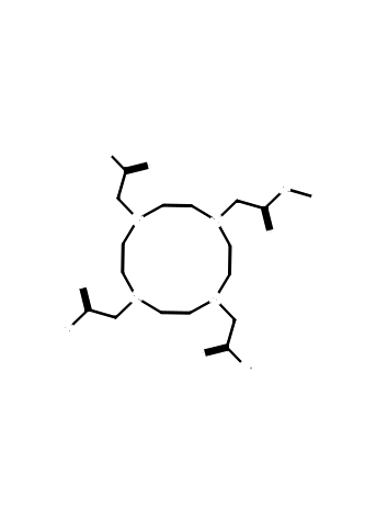 CNC(=O)CN1CCN(CC(=O)O)CCN(CC(N)=O)CCN(CC(=O)O)CC1